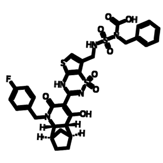 O=C1C(C2=NS(=O)(=O)c3c(CNS(=O)(=O)N(Cc4ccccc4)C(=O)O)csc3N2)=C(O)[C@@H]2[C@H]3CC[C@H](C3)[C@@H]2N1Cc1ccc(F)cc1